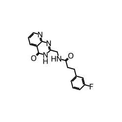 O=C(CCc1cccc(F)c1)NCc1nc2ncccc2c(=O)[nH]1